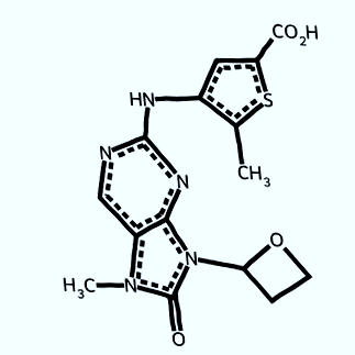 Cc1sc(C(=O)O)cc1Nc1ncc2c(n1)n(C1CCO1)c(=O)n2C